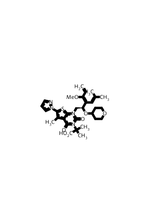 C=C/C(OC)=C(\C=C(C)C)[C@H](Cn1c(=O)n(C(C)(C)C(=O)O)c(=O)c2c(C)c(-n3cccn3)sc21)OC1CCOCC1